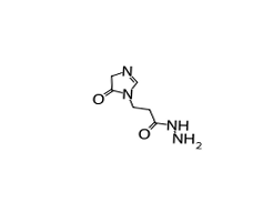 NNC(=O)CCN1C=NCC1=O